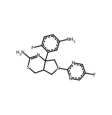 NC1=NC2(c3cc(N)ccc3F)CN(c3ncc(F)cn3)CC2CS1